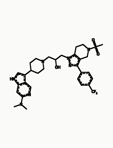 CN(C)c1cc2[nH]cc(C3CCN(CC(O)Cn4nc(-c5ccc(C(F)(F)F)cc5)c5c4CCN(S(C)(=O)=O)C5)CC3)c2cn1